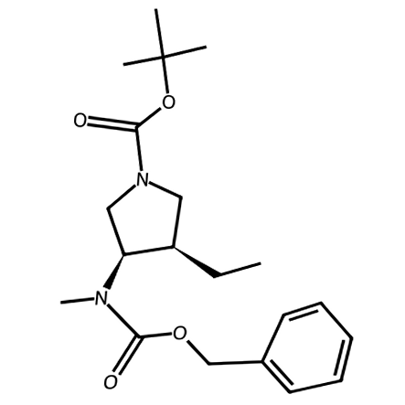 CC[C@@H]1CN(C(=O)OC(C)(C)C)C[C@@H]1N(C)C(=O)OCc1ccccc1